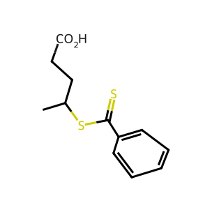 CC(CCC(=O)O)SC(=S)c1ccccc1